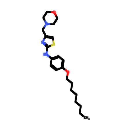 CCCCCCCCOc1ccc(Nc2nc(CN3CCOCC3)cs2)cc1